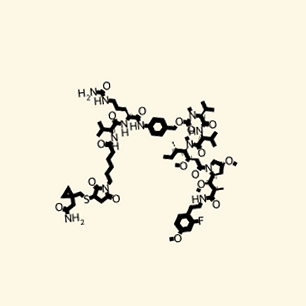 CC[C@H](C)[C@@H]([C@@H](CC(=O)N1C[C@H](OC)C[C@H]1[C@H](OC)[C@@H](C)C(=O)NCCc1ccc(OC)cc1F)OC)N(C)C(=O)[C@@H](NC(=O)[C@H](C(C)C)N(C)C(=O)OCc1ccc(NC(=O)[C@H](CCCNC(N)=O)NC(=O)[C@@H](NC(=O)CCCCCN2C(=O)CC(SCC3(CC(N)=O)CC3)C2=O)C(C)C)cc1)C(C)C